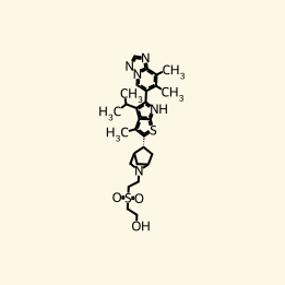 Cc1c(-c2[nH]c3sc([C@@H]4CC5CC4CN5CCS(=O)(=O)CCO)c(C)c3c2C(C)C)cn2ncnc2c1C